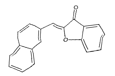 O=C1C(=Cc2ccc3ccccc3c2)Oc2ccccc21